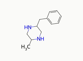 CC1CNC(Cc2ccccc2)CN1